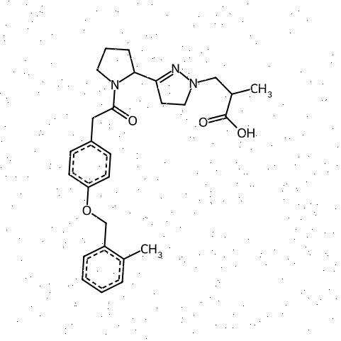 Cc1ccccc1COc1ccc(CC(=O)N2CCCC2C2=NN(CC(C)C(=O)O)CC2)cc1